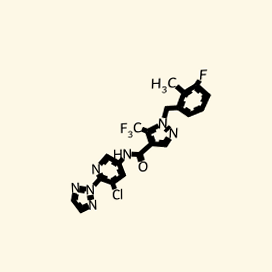 Cc1c(F)cccc1Cn1ncc(C(=O)Nc2cnc(-n3nccn3)c(Cl)c2)c1C(F)(F)F